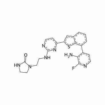 Nc1c(-c2cccc3cc(-c4ccnc(NCCN5CCNC5=O)n4)sc23)ccnc1F